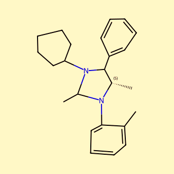 Cc1ccccc1N1C(C)N(C2CCCCC2)C(c2ccccc2)[C@@H]1C